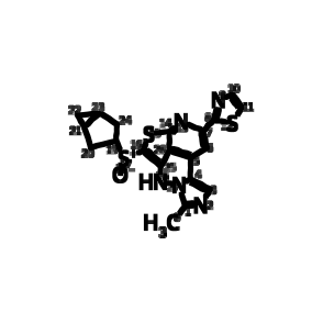 Cc1ncc2c3cc(-c4nccs4)nc4sc([S+]([O-])C5CC6CC6C5)c([nH]n12)c43